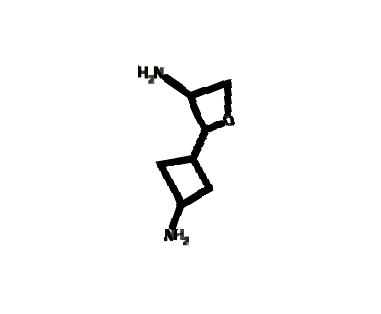 NC1CC(C2OCC2N)C1